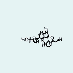 CC(C)(O)c1cnc(-c2cnc3[nH]ccc3c2N[C@@H]2CCCN(C(=O)CC#N)C2)o1